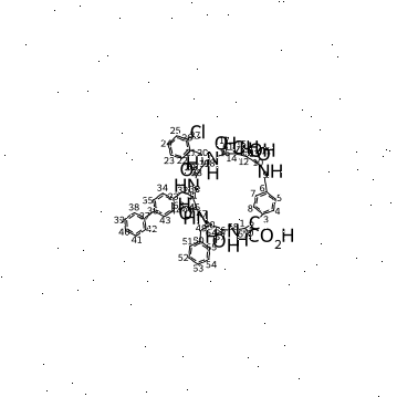 O=C(O)[C@@H]1Cc2ccc(cc2)NC(=O)[C@H](O)[C@@H](O)C(=O)N[C@H](Cc2ccccc2Cl)C(=O)N[C@@H](Cc2ccc(-c3ccccc3)cc2)C(=O)N[C@H](Cc2ccccc2)C(=O)N1